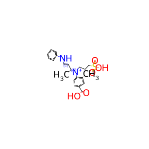 CC(/C=C/Nc1ccccc1)=[N+](/CCCS(=O)(=O)O)c1ccc(C(=O)O)cc1C